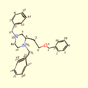 c1ccc(COCCC2CN(Cc3ccccc3)CCN2Cc2ccccc2)cc1